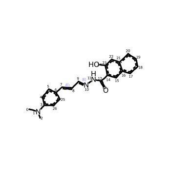 CN(C)c1ccc(/C=C/C=N/NC(=O)c2cc3ccccc3cc2O)cc1